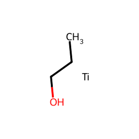 CCCO.[Ti]